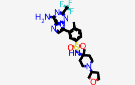 Cc1ccc(S(=O)(=O)NC2(C)CCN(C3CCOC3)CC2)cc1-c1cnc2c(N)nc(C(F)(F)F)nn12